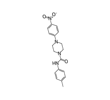 Cc1ccc(NC(=O)N2CCN(c3ccc([N+](=O)[O-])cc3)CC2)cc1